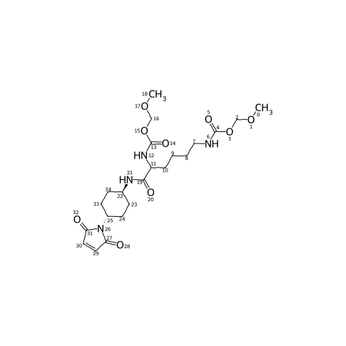 COCOC(=O)NCCCCC(NC(=O)OCOC)C(=O)N[C@H]1CC[C@H](N2C(=O)C=CC2=O)CC1